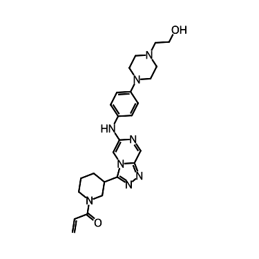 C=CC(=O)N1CCCC(c2nnc3cnc(Nc4ccc(N5CCN(CCO)CC5)cc4)cn23)C1